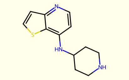 c1cc(NC2CCNCC2)c2sccc2n1